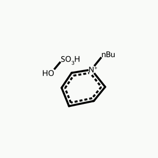 CCCC[n+]1ccccc1.O=S(=O)(O)O